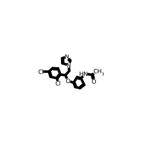 CC(=O)Nc1cccc(OC(Cn2ccnc2)c2ccc(Cl)cc2Cl)c1